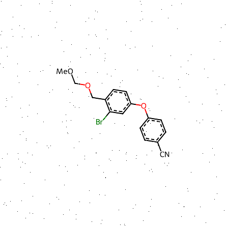 COCOCc1ccc(Oc2ccc(C#N)cc2)cc1Br